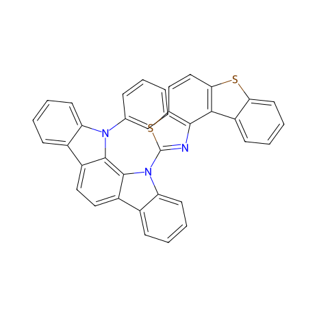 c1ccc(-n2c3ccccc3c3ccc4c5ccccc5n(-c5nc6c(ccc7sc8ccccc8c76)s5)c4c32)cc1